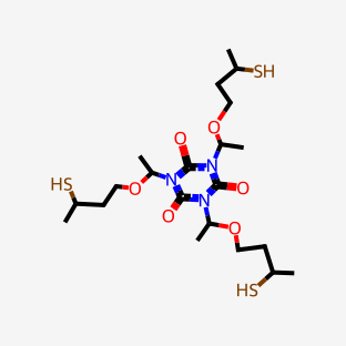 CC(S)CCOC(C)n1c(=O)n(C(C)OCCC(C)S)c(=O)n(C(C)OCCC(C)S)c1=O